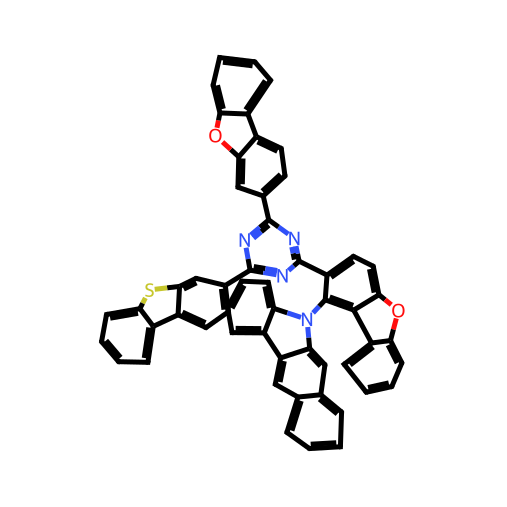 c1ccc2cc3c(cc2c1)c1ccccc1n3-c1c(-c2nc(-c3ccc4c(c3)oc3ccccc34)nc(-c3ccc4c(c3)sc3ccccc34)n2)ccc2oc3ccccc3c12